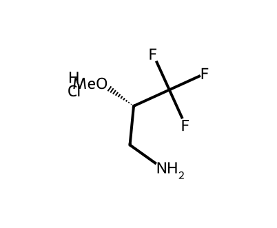 CO[C@@H](CN)C(F)(F)F.Cl